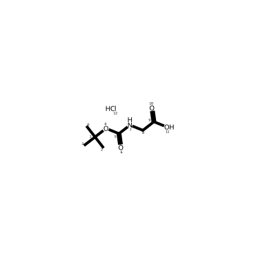 CC(C)(C)OC(=O)NCC(=O)O.Cl